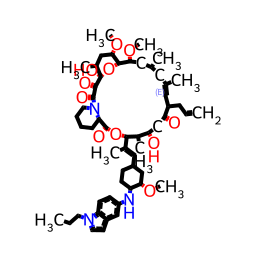 C=CCC1/C=C(\C)CC(C)CC(OC)C2OC(O)(C(=O)C(=O)N3CCCCC3C(=O)OC(C(C)=CC3CCC(Nc4ccc5c(ccn5CCC)c4)C(OC)C3)C(C)C(O)CC1=O)C(C)CC2OC